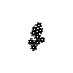 c1ccc(-c2ccccc2-c2ccccc2-n2c3ccccc3c3ccc(-c4ccccc4-c4ccc(N(c5ccccc5)c5ccccc5)cc4)cc32)cc1